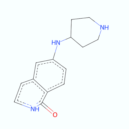 O=c1[nH]ccc2cc(NC3CCNCC3)ccc12